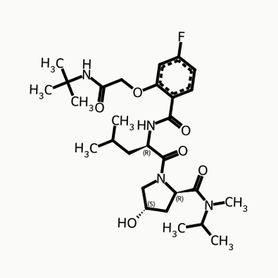 CC(C)C[C@@H](NC(=O)c1ccc(F)cc1OCC(=O)NC(C)(C)C)C(=O)N1C[C@@H](O)C[C@@H]1C(=O)N(C)C(C)C